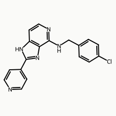 Clc1ccc(CNc2nccc3[nH]c(-c4ccncc4)nc23)cc1